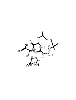 CC(C)C[C@H](NC(=O)[C@@H](C)[C@@H](C)OC(C)(C)C)C(=O)N[C@@H](C[C@@H]1CCNC1=O)C(N)=O